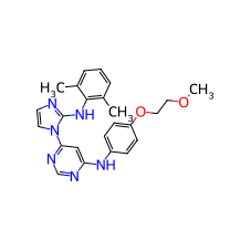 COCCOc1ccc(Nc2cc(-n3ccnc3Nc3c(C)cccc3C)ncn2)cc1